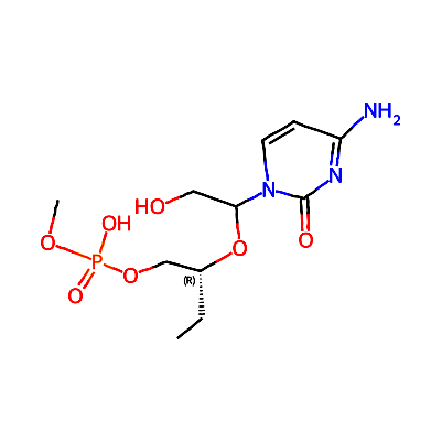 CC[C@H](COP(=O)(O)OC)OC(CO)n1ccc(N)nc1=O